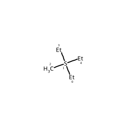 CCS(C)(CC)CC